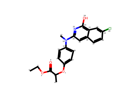 CCOC(=O)C(C)Oc1ccc(N(C)c2cc3ccc(Cl)cc3c(O)n2)cc1